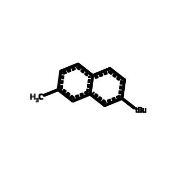 Cc1ccc2ccc(C(C)(C)C)cc2c1